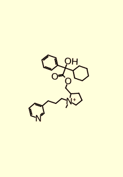 C[N+]1(CCCc2cccnc2)CCCC1COC(=O)C(O)(c1ccccc1)C1CCCCC1